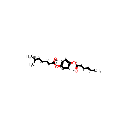 CCCCCC(=O)Oc1ccc(OC(=O)CCCCC(C)C)cc1